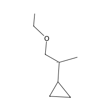 CCOC[C](C)C1CC1